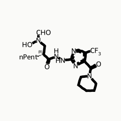 CCCCC[C@H](CN(O)C=O)C(=O)NNc1ncc(C(F)(F)F)c(C(=O)N2CCCCC2)n1